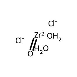 O.O.[Cl-].[Cl-].[O]=[Zr+2]